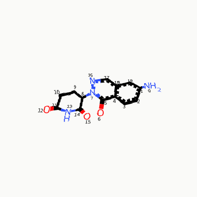 Nc1ccc2c(=O)n(C3CCC(=O)NC3=O)ncc2c1